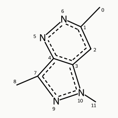 Cc1cc2c(nn1)c(C)nn2C